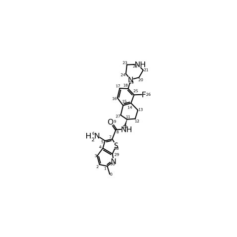 Cc1ccc2c(N)c(C(=O)N[C@@H]3CCc4c(ccc(N5CCNCC5)c4F)C3)sc2n1